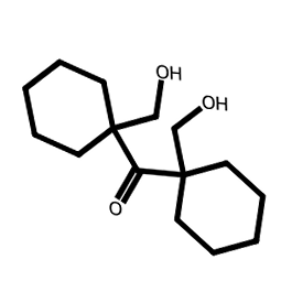 O=C(C1(CO)CCCCC1)C1(CO)CCCCC1